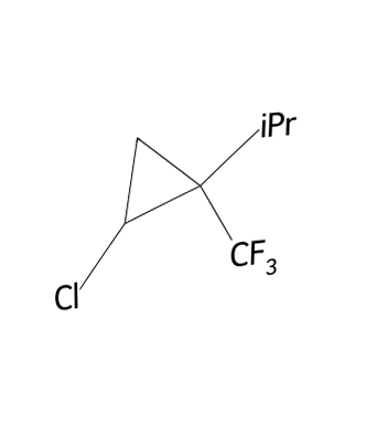 CC(C)C1(C(F)(F)F)CC1Cl